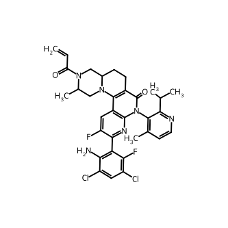 C=CC(=O)N1CC2CCc3c(c4cc(F)c(-c5c(N)c(Cl)cc(Cl)c5F)nc4n(-c4c(C)ccnc4C(C)C)c3=O)N2CC1C